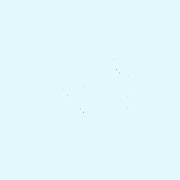 CC(C)CC(=O)Nc1ccc([N+](=O)[O-])c([N+](=O)[O-])c1